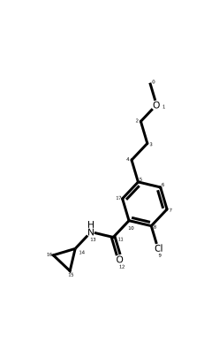 COCCCc1ccc(Cl)c(C(=O)NC2CC2)c1